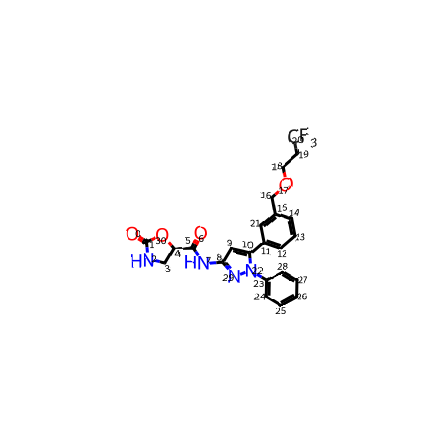 O=C1NC[C@H](C(=O)Nc2cc(-c3cccc(COCCC(F)(F)F)c3)n(-c3ccccc3)n2)O1